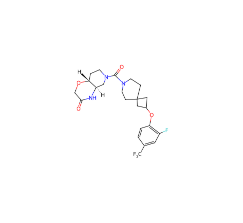 O=C1CO[C@@H]2CCN(C(=O)N3CCC4(CC3)CC(Oc3ccc(C(F)(F)F)cc3F)C4)C[C@H]2N1